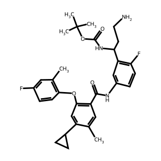 Cc1cc(F)ccc1Oc1cc(C2CC2)c(C)cc1C(=O)Nc1ccc(F)c(C(CCN)NC(=O)OC(C)(C)C)c1